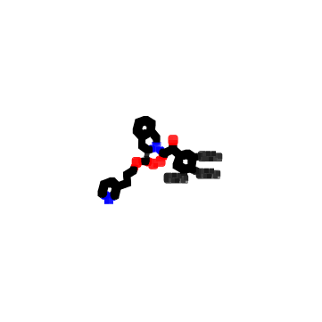 COc1cc(C(=O)C(=O)N2Cc3ccccc3C[C@H]2C(=O)OCCCc2cccnc2)cc(OC)c1OC